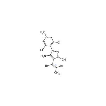 C/C(Br)=C(\Br)c1c(C#N)nn(-c2c(Cl)cc(C(F)(F)F)cc2Cl)c1N